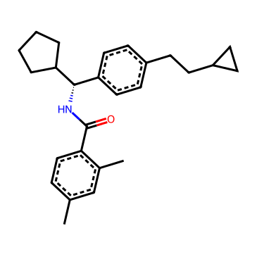 Cc1ccc(C(=O)N[C@@H](c2ccc(CCC3CC3)cc2)C2CCCC2)c(C)c1